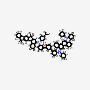 CC(C)c1ccc(N(c2cc3c(c4ccccc24)-c2cc4c(cc2C3(C)C)-c2ccccc2C4(C)C)c2cccc3c2oc2ccc(-c4cccc(N(c5ccccc5)c5cc6c7ccccc7c(N(c7ccccc7)c7ccccc7)cc6c6ccccc56)c4)cc23)cc1